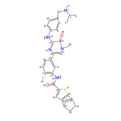 CC(C)N(C)Cc1ccc(Nc2nc(-c3ccc(F)c(NC(=O)c4cc5c(s4)C4CCC5C4)c3)cn(C)c2=O)cc1